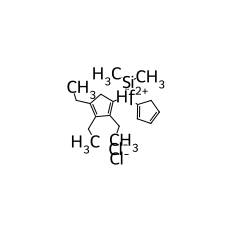 CCC1=C(CC)C(CC)=[C]([Hf+2]([C]2=CC=CC2)=[Si](C)C)C1.[Cl-].[Cl-]